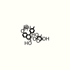 Cc1ccc(C2c3cc(OC(C)C)ccc3C[C@H](CO)[C@H]2CO[C@@H]2OC[C@@H](O)[C@H](C)[C@H]2O)cc1C(C)(C)C